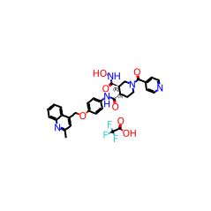 Cc1cc(COc2ccc(NC(=O)[C@H]3CCN(C(=O)c4ccncc4)C[C@@H]3C(=O)NO)cc2)c2ccccc2n1.O=C(O)C(F)(F)F